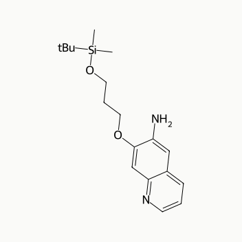 CC(C)(C)[Si](C)(C)OCCCOc1cc2ncccc2cc1N